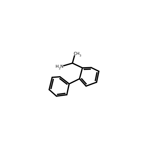 CC(N)c1ccccc1-c1ccccc1